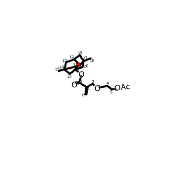 C=C(COCCOC(C)=O)C(=O)OC12CC3CC(C)(CC(C)(C3)C1)C2